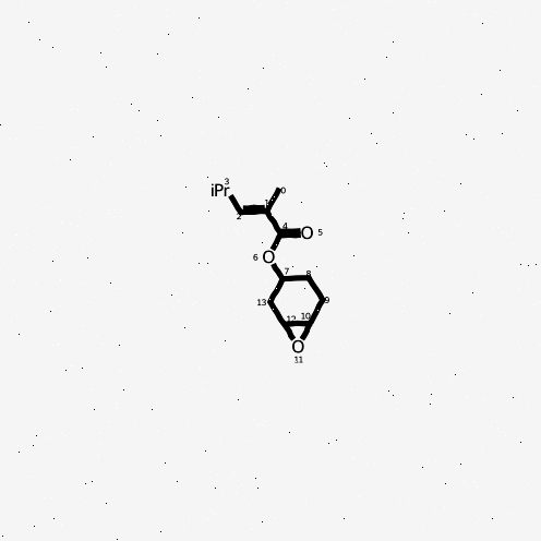 CC(=CC(C)C)C(=O)OC1CCC2OC2C1